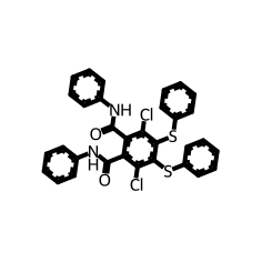 O=C(Nc1ccccc1)c1c(Cl)c(Sc2ccccc2)c(Sc2ccccc2)c(Cl)c1C(=O)Nc1ccccc1